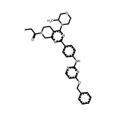 CC1COCCN1c1nc(-c2ccc(Nc3nccc(OCc4ccccc4)n3)cc2)nc2c1CCN(C(=O)CI)C2